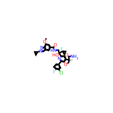 COc1cc(C(=O)NCC(O)(c2cc3c(c(-c4ccc(F)c(Cl)c4)n2)OC[C@]3(C)C(N)=O)C2(F)CC2)cc2cn(C3CC3)nc12